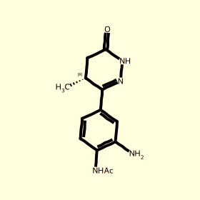 CC(=O)Nc1ccc(C2=NNC(=O)C[C@H]2C)cc1N